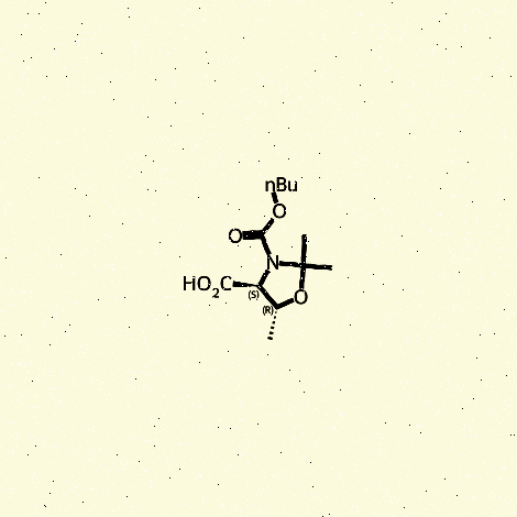 CCCCOC(=O)N1[C@H](C(=O)O)[C@@H](C)OC1(C)C